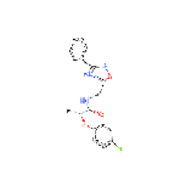 CC(C)C(Oc1ccc(F)cc1)C(=O)NCc1nc(-c2ccccc2)no1